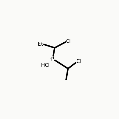 CCC(Cl)[P]C(C)Cl.Cl